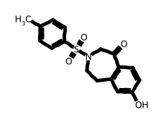 Cc1ccc(S(=O)(=O)N2CCc3cc(O)ccc3C(=O)C2)cc1